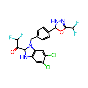 O=C(C(F)F)C1Nc2cc(Cl)c(Cl)cc2N1Cc1ccc(C2NN=C(C(F)F)O2)cc1